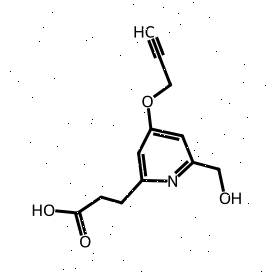 C#CCOc1cc(CO)nc(CCC(=O)O)c1